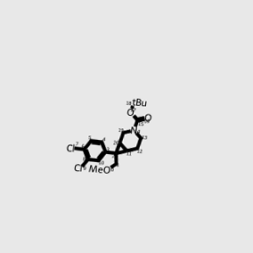 COCC1(c2ccc(Cl)c(Cl)c2)C2CCN(C(=O)OC(C)(C)C)CC21